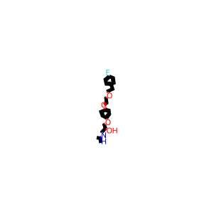 CC(C)NCC(O)COc1ccc(OCCOCCc2ccc(F)cc2)cc1